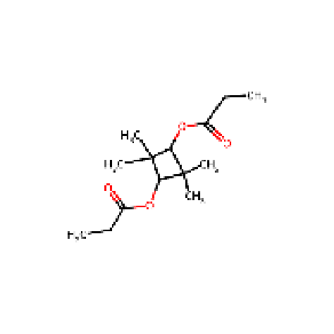 CCC(=O)OC1C(C)(C)C(OC(=O)CC)C1(C)C